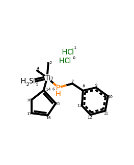 Cl.Cl.[CH3][Ti]([CH3])(=[SiH2])([PH]Cc1ccccc1)[C]1=CC=CC1